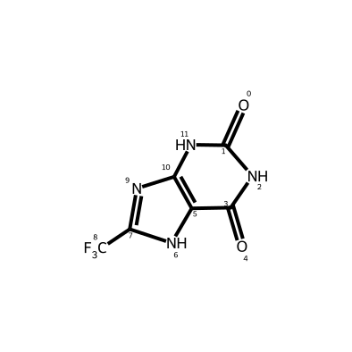 O=c1[nH]c(=O)c2[nH]c(C(F)(F)F)nc2[nH]1